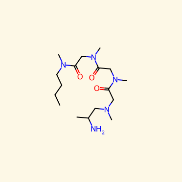 CCCCN(C)C(=O)CN(C)C(=O)CN(C)C(=O)CN(C)CC(C)N